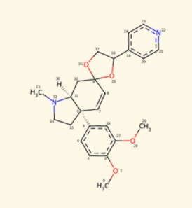 COc1ccc([C@@]23C=CC4(C[C@@H]2N(C)CC3)OCC(c2ccncc2)O4)cc1OC